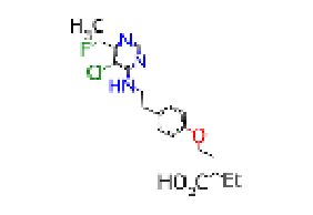 CCC(CCOc1ccc(CCNc2ncnc(C(C)F)c2Cl)cc1)C(=O)O